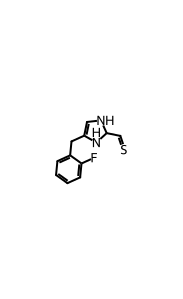 Fc1ccccc1CC1=CNC(C=S)N1